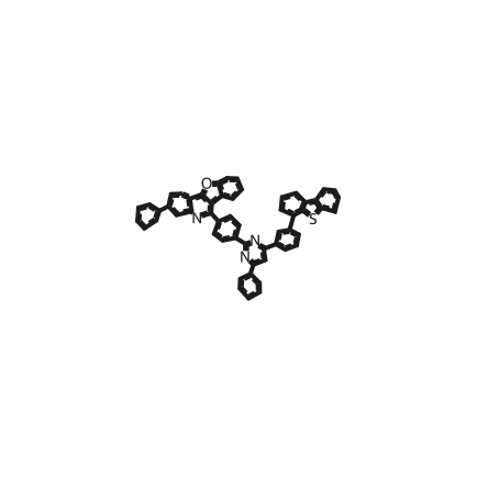 c1ccc(-c2ccc3c(c2)nc(-c2ccc(-c4nc(-c5ccccc5)cc(-c5cccc(-c6cccc7c6sc6ccccc67)c5)n4)cc2)c2c4ccccc4oc32)cc1